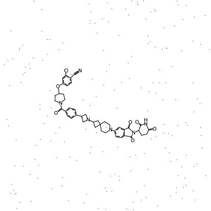 N#Cc1ccc(OC2CCN(C(=O)c3ccc(C4CN(C5CC6(CCN(c7ccc8c(c7)C(=O)N(C7CCC(=O)NC7=O)C8=O)CC6)C5)C4)cc3)CC2)cc1Cl